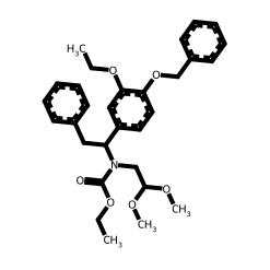 CCOC(=O)N(CC(OC)OC)C(Cc1ccccc1)c1ccc(OCc2ccccc2)c(OCC)c1